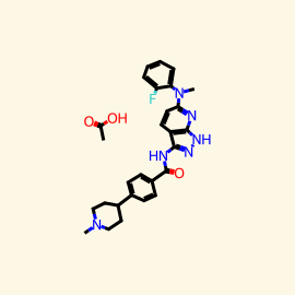 CC(=O)O.CN1CCC(c2ccc(C(=O)Nc3n[nH]c4nc(N(C)c5ccccc5F)ccc34)cc2)CC1